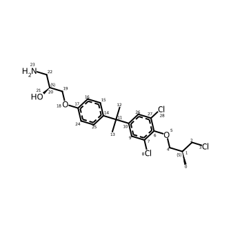 C[C@H](CCl)COc1c(Cl)cc(C(C)(C)c2ccc(OC[C@@H](O)CN)cc2)cc1Cl